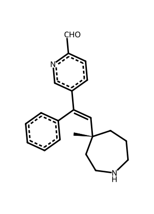 C[C@@]1(/C=C(\c2ccccc2)c2ccc(C=O)nc2)CCCNCC1